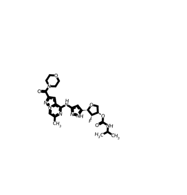 Cc1cn2nc(C(=O)N3CCOCC3)cc2c(Nc2cc([C@@H]3OC[C@H](OC(=O)NC(C)C)[C@@H]3F)[nH]n2)n1